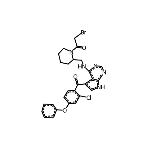 O=C(c1ccc(Oc2ccccc2)cc1Cl)c1c[nH]c2ncnc(NCC3CCCCN3C(=O)CBr)c12